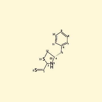 S=CC1N[C@@H](Cc2ccccc2)CS1